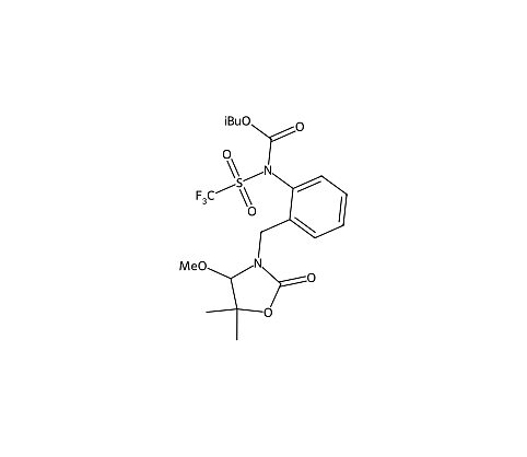 COC1N(Cc2ccccc2N(C(=O)OCC(C)C)S(=O)(=O)C(F)(F)F)C(=O)OC1(C)C